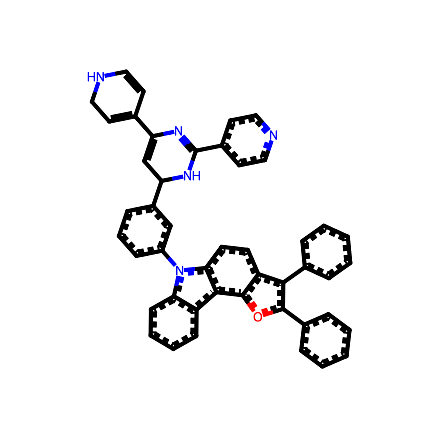 C1=CC(C2=CC(c3cccc(-n4c5ccccc5c5c6oc(-c7ccccc7)c(-c7ccccc7)c6ccc54)c3)NC(c3ccncc3)=N2)=CCN1